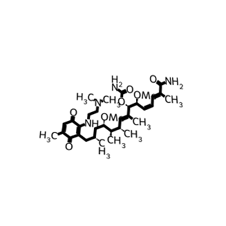 CO[C@@H](/C=C\C=C(/C)C(N)=O)[C@@H](OC(N)=O)/C(C)=C/[C@H](C)[C@@H](C)[C@H](C[C@H](C)CC1=C(NCCN(C)C)C(=O)C=C(C)C1=O)OC